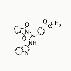 COC(=O)c1ccc(/C=C(/CNc2cnc3ccccc3c2)CN2C(=O)c3ccccc3C2=O)cc1